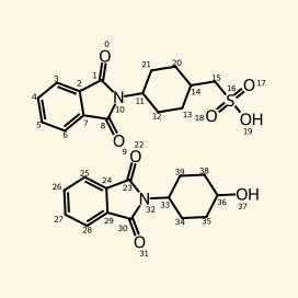 O=C1c2ccccc2C(=O)N1C1CCC(CS(=O)(=O)O)CC1.O=C1c2ccccc2C(=O)N1C1CCC(O)CC1